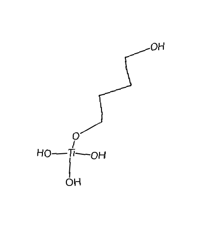 OCCCC[O][Ti]([OH])([OH])[OH]